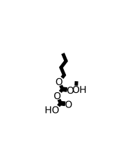 CCCCOC(=O)OC(=O)O.CO